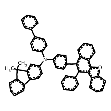 CC1(C)c2ccccc2-c2ccc(N(c3ccc(-c4ccccc4)cc3)c3ccc(-c4c(-c5ccccc5)c5c6ccccc6oc5c5ccccc45)cc3)cc21